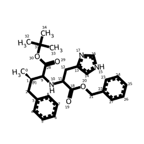 C[C@H](Cc1ccccc1)C(NC(Cc1c[nH]cn1)C(=O)OCc1ccccc1)C(=O)OC(C)(C)C